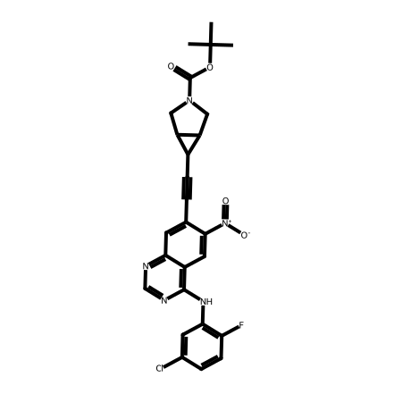 CC(C)(C)OC(=O)N1CC2C(C#Cc3cc4ncnc(Nc5cc(Cl)ccc5F)c4cc3[N+](=O)[O-])C2C1